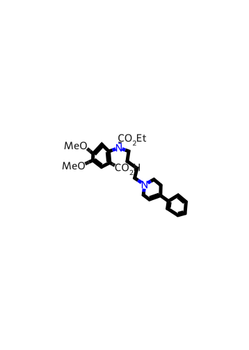 CCOC(=O)N(CCCCN1CC=C(c2ccccc2)CC1)c1cc(OC)c(OC)cc1C(=O)O